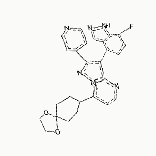 Fc1ccc(-c2c(-c3ccncc3)nn3c(C4CCC5(CC4)OCCO5)ccnc23)c2cn[nH]c12